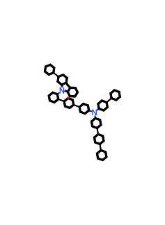 c1ccc(-c2ccc(-c3ccc(N(c4ccc(-c5ccccc5)cc4)c4ccc(-c5ccc(-c6ccccc6-n6c7ccccc7c7ccc(-c8ccccc8)cc76)cc5)cc4)cc3)cc2)cc1